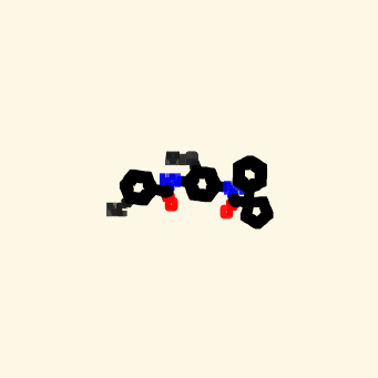 COc1cc(NC(=O)C2(c3ccccc3)CCCC2)ccc1NC(=O)c1cccc(C#N)c1